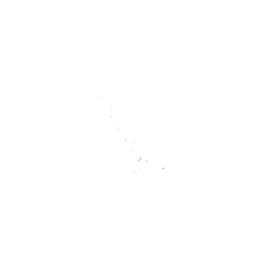 CCCCCCCCCCCCC(S)(CO)OCCO